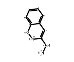 NNC1=Cc2ccccc2ON1